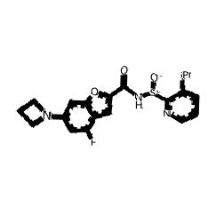 CC(C)c1cccnc1[S+]([O-])NC(=O)c1cc2c(F)cc(N3CCC3)cc2o1